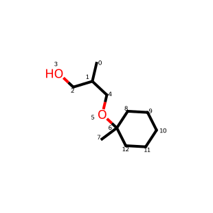 CC(CO)COC1(C)CCCCC1